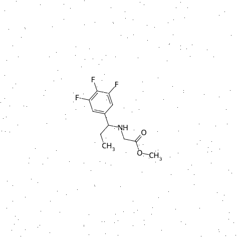 CCC(NCC(=O)OC)c1cc(F)c(F)c(F)c1